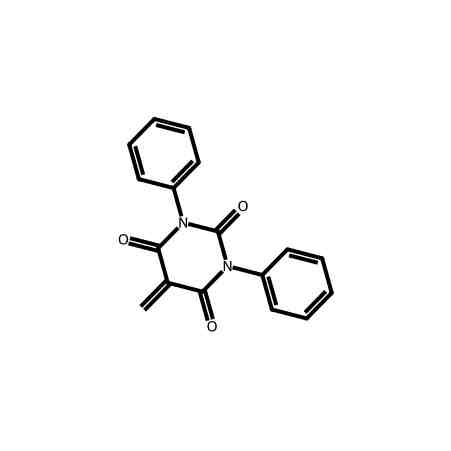 C=C1C(=O)N(c2ccccc2)C(=O)N(c2ccccc2)C1=O